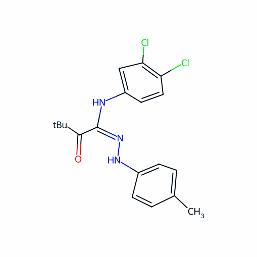 Cc1ccc(N/N=C(/Nc2ccc(Cl)c(Cl)c2)C(=O)C(C)(C)C)cc1